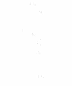 NS(=O)(=O)NCCCCC(NC(=O)O)C(=O)Nc1nc(-c2ccc3[nH]c(=O)oc3c2)cs1